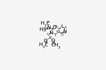 COC(CN(Cc1cccnc1)C(=O)N(C)S)OC